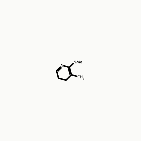 CNC1=C(C)CCC=N1